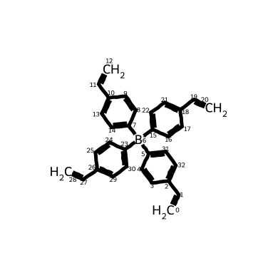 C=Cc1ccc([B-](c2ccc(C=C)cc2)(c2ccc(C=C)cc2)c2ccc(C=C)cc2)cc1